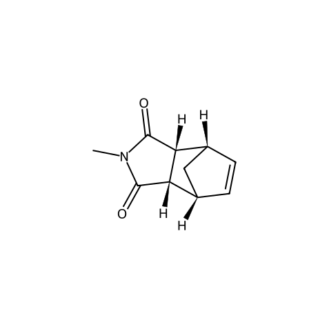 CN1C(=O)[C@@H]2[C@H](C1=O)[C@@H]1C=C[C@H]2C1